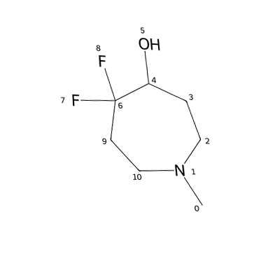 CN1CCC(O)C(F)(F)CC1